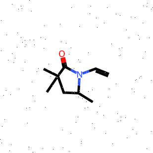 C=CN1C(=O)C(C)(C)CC1C